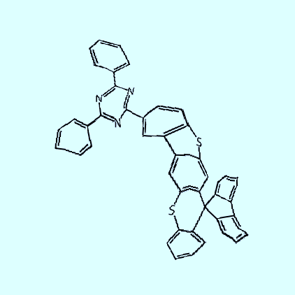 c1ccc(-c2nc(-c3ccccc3)nc(-c3ccc4sc5cc6c(cc5c4c3)Sc3ccccc3C63c4ccccc4-c4ccccc43)n2)cc1